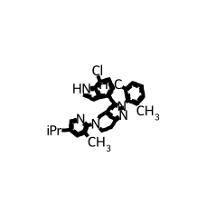 Cc1cc(C(C)C)cnc1N1CCc2nn(-c3c(C)cccc3C)c(-c3ccc(Cl)c4[nH]ccc34)c2C1